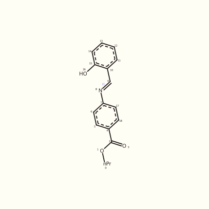 CCCOC(=O)c1ccc(/N=C/c2ccccc2O)cc1